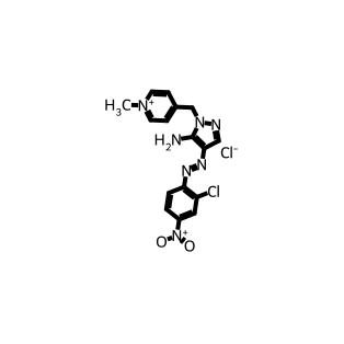 C[n+]1ccc(Cn2ncc(N=Nc3ccc([N+](=O)[O-])cc3Cl)c2N)cc1.[Cl-]